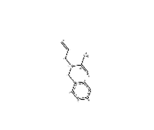 C=CCN(Cc1ccccc1)C(=S)S